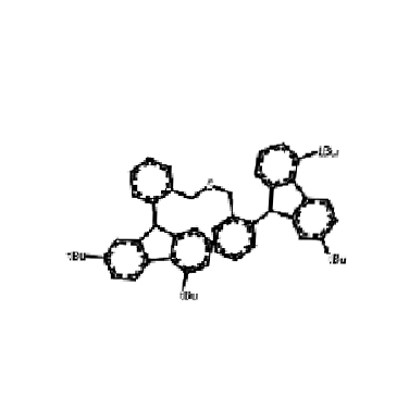 CC(C)(C)c1ccc2c(c1)C(c1ccccc1CSCc1ccccc1C1c3cc(C(C)(C)C)ccc3-c3c1cccc3C(C)(C)C)c1cccc(C(C)(C)C)c1-2